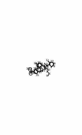 CCCCn1c(-c2ccccc2C)nc(-c2ccc(C)cc2)c1CN(Cc1ccc(C(=O)OC)cc1)CC(C)C